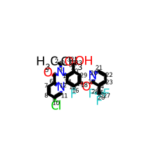 CC(C)N(C(=O)c1ccc(Cl)cn1)c1cc(F)c(Oc2ncccc2C(F)(F)F)cc1C(=O)O